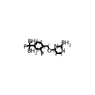 Bc1nccc(OCc2ccc(C(B)(B)F)cc2F)n1